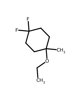 CCOC1(C)CCC(F)(F)CC1